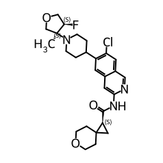 C[C@]1(N2CCC(c3cc4cc(NC(=O)[C@H]5CC56CCOCC6)ncc4cc3Cl)CC2)COC[C@H]1F